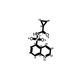 O=C(NS(=O)(=O)c1cccc2ncccc12)C1CC1